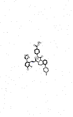 CN1CCN(c2cccc3c2CCN(C(=O)/C=C/c2c(-n4cnnn4)ccc(Cl)c2F)C3C(=O)Nc2ccc(C(=O)OC(C)(C)C)cc2)CC1